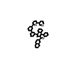 c1cncc(-c2cccc(-c3cccc(-c4cccc(-c5cc6c(-c7ccc8ccccc8c7)nc7ccccc7c6c6ccccc56)c4)c3)n2)c1